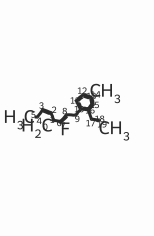 C=C(/C=C\CC)/C(F)=C/Cc1ccc(C)cc1CCC